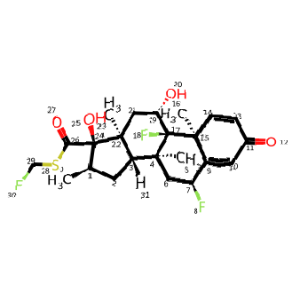 C[C@@H]1C[C@H]2[C@]3(C)C[C@H](F)C4=CC(=O)C=C[C@]4(C)[C@@]3(F)[C@@H](O)C[C@]2(C)[C@@]1(O)C(=O)SCF